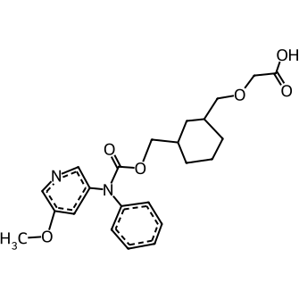 COc1cncc(N(C(=O)OCC2CCCC(COCC(=O)O)C2)c2ccccc2)c1